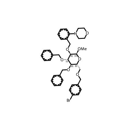 CO[C@H]1O[C@H](COCc2ccc(Br)cc2)[C@@H](OCc2ccccc2)[C@H](OCc2ccccc2)[C@H]1OCc1ccccc1N1CCOCC1